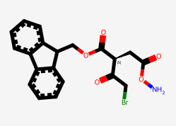 NOC(=O)C[C@@H](C(=O)CBr)C(=O)OCC1c2ccccc2-c2ccccc21